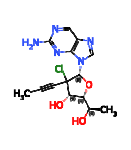 CC#CC1(Cl)[C@@H](O)[C@@H]([C@@H](C)O)O[C@H]1n1cnc2cnc(N)nc21